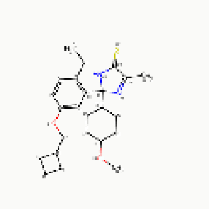 CCc1ccc(OCC2CCC2)cc1C1(C2CCC(OC)CC2)N=C(C)C(=S)N1